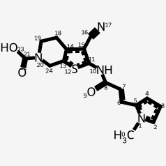 Cn1cccc1C=CC(=O)Nc1sc2c(c1C#N)CCN(C(=O)O)C2